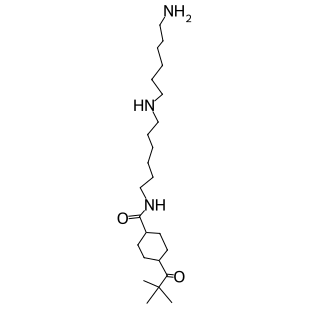 CC(C)(C)C(=O)C1CCC(C(=O)NCCCCCCNCCCCCCN)CC1